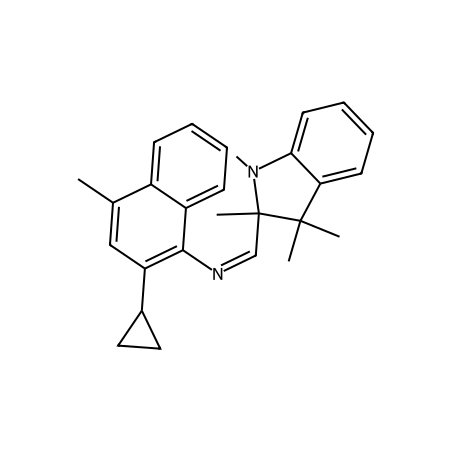 Cc1cc(C2CC2)c(/N=C\C2(C)N(C)c3ccccc3C2(C)C)c2ccccc12